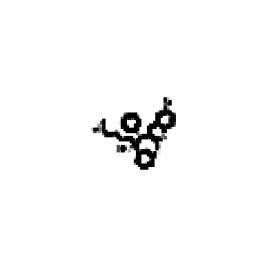 CN(C)CCCC[C@@]1(O)c2cccc(c2)Sc2nc3ccc(Br)cc3cc2[C@H]1c1ccccc1